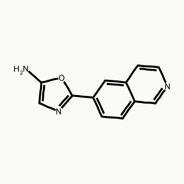 Nc1cnc(-c2ccc3cnccc3c2)o1